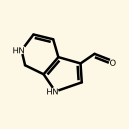 O=Cc1c[nH]c2c1C=CNC2